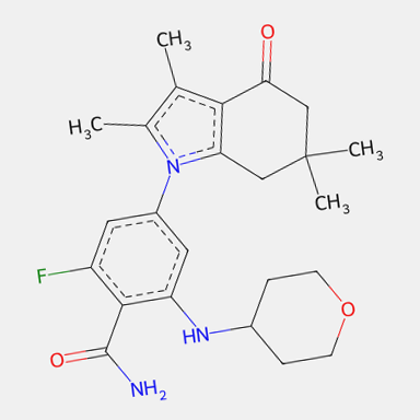 Cc1c2c(n(-c3cc(F)c(C(N)=O)c(NC4CCOCC4)c3)c1C)CC(C)(C)CC2=O